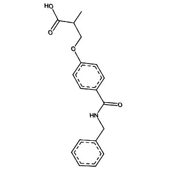 CC(COc1ccc(C(=O)NCc2ccccc2)cc1)C(=O)O